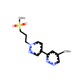 COc1cnnc(-c2cc[n+](CCCS(=O)(=O)OC)nc2)c1